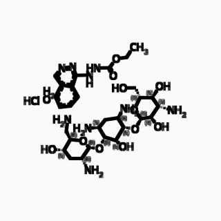 CCOC(=O)NNc1nncc2ccccc12.Cl.NC[C@H]1O[C@H](O[C@H]2[C@H](O)[C@@H](O[C@H]3O[C@H](CO)[C@@H](O)[C@H](N)[C@H]3O)[C@H](N)C[C@@H]2N)[C@H](N)C[C@@H]1O.O